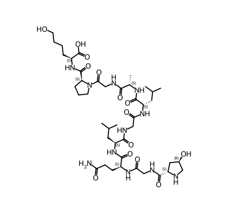 CC(C)C[C@H](NC(=O)CNC(=O)[C@H](CC(C)C)NC(=O)[C@H](CCC(N)=O)NC(=O)CNC(=O)[C@@H]1C[C@@H](O)CN1)C(=O)N[C@@H](C)C(=O)NCC(=O)N1CCC[C@H]1C(=O)N[C@@H](CCCCO)C(=O)O